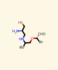 CCC(C)C(CO[C@H](C=O)C(C)C)NC[C@@H](N)CS